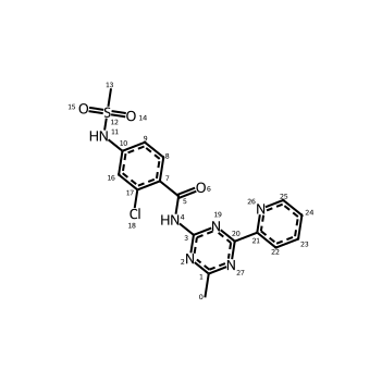 Cc1nc(NC(=O)c2ccc(NS(C)(=O)=O)cc2Cl)nc(-c2ccccn2)n1